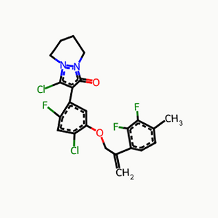 C=C(COc1cc(-c2c(Cl)n3n(c2=O)CCCC3)c(F)cc1Cl)c1ccc(C)c(F)c1F